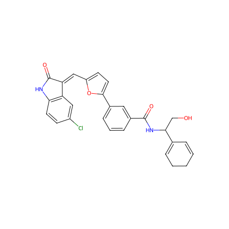 O=C1Nc2ccc(Cl)cc2/C1=C\c1ccc(-c2cccc(C(=O)NC(CO)C3=CCCC=C3)c2)o1